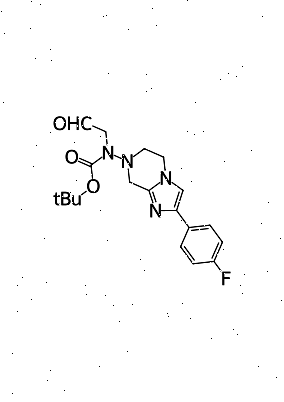 CC(C)(C)OC(=O)N(CC=O)N1CCn2cc(-c3ccc(F)cc3)nc2C1